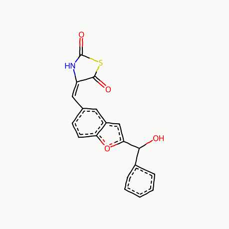 O=C1NC(=Cc2ccc3oc(C(O)c4ccccc4)cc3c2)C(=O)S1